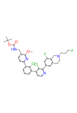 COc1nc(-c2cccc(-c3ccnc(-c4cc(F)c5c(c4)CCN(CCCF)C5)c3Cl)c2Cl)ccc1CNC(=O)OC(C)(C)C